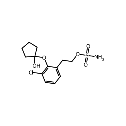 NS(=O)(=O)OCCc1cccc(Cl)c1OC1(O)CCCC1